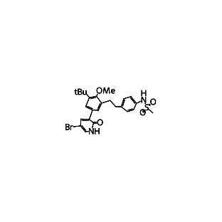 COc1c(CCc2ccc(NS(C)(=O)=O)cc2)cc(-c2cc(Br)c[nH]c2=O)cc1C(C)(C)C